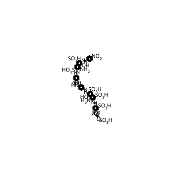 Nc1c(/N=N/c2ccc(S(=O)(=O)Nc3ccc(/N=N/c4c(S(=O)(=O)O)cc5c(S(=O)(=O)O)cc(/N=N/c6ccc(S(=O)(=O)CCOS(=O)(=O)O)cc6S(=O)(=O)O)c(N)c5c4O)cc3)cc2)c(S(=O)(=O)O)cc2cc(S(=O)(=O)O)c(/N=N/c3ccc([N+](=O)[O-])cc3)c(O)c12